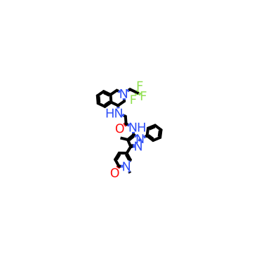 Cc1c(-c2ccc(=O)n(C)c2)nn(-c2ccccc2)c1NC(=O)CNC1CN(CC(F)(F)F)Cc2ccccc21